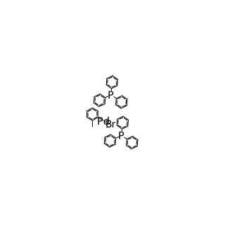 Cc1cccc[c]1[Pd][Br].c1ccc(P(c2ccccc2)c2ccccc2)cc1.c1ccc(P(c2ccccc2)c2ccccc2)cc1